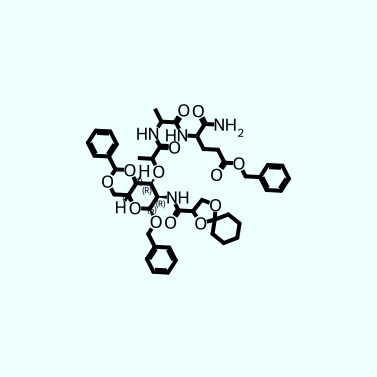 CC(NC(=O)C(C)O[C@@H]1[C@@H](NC(=O)C2COC3(CCCCC3)O2)[C@@H](OCc2ccccc2)O[C@@H]2COC(c3ccccc3)O[C@@H]12)C(=O)NC(CCC(=O)OCc1ccccc1)C(N)=O